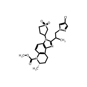 COC(=O)N1c2ccc3c(nc(C(C)Cn4cc(Cl)cn4)n3C3CCS(=O)(=O)C3)c2CC[C@@H]1C